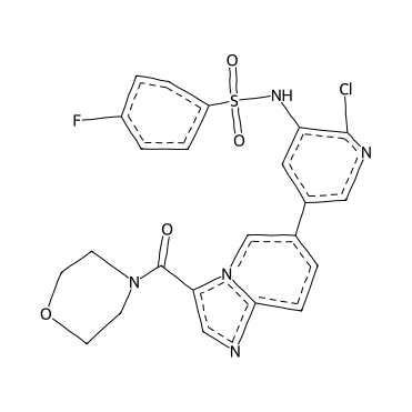 O=C(c1cnc2ccc(-c3cnc(Cl)c(NS(=O)(=O)c4ccc(F)cc4)c3)cn12)N1CCOCC1